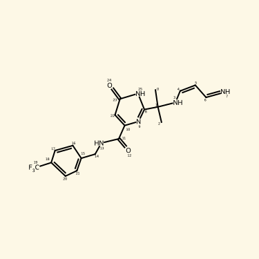 CC(C)(N/C=C\C=N)c1nc(C(=O)NCc2ccc(C(F)(F)F)cc2)cc(=O)[nH]1